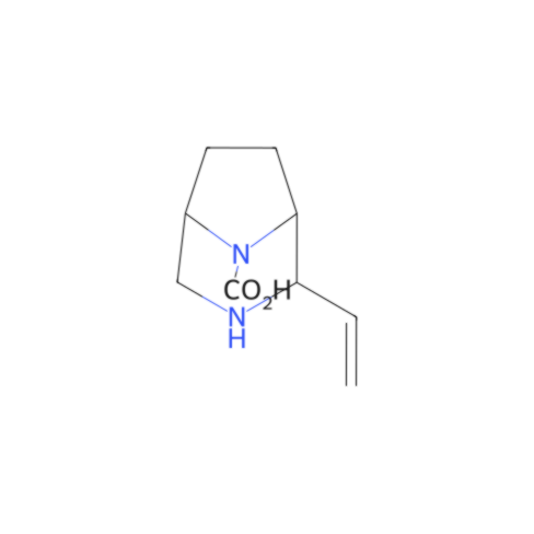 C=CC1NCC2CCC1N2C(=O)O